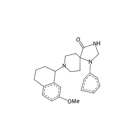 COc1ccc2c(c1)C(N1CCC3(CC1)C(=O)NCN3c1ccccc1)CCC2